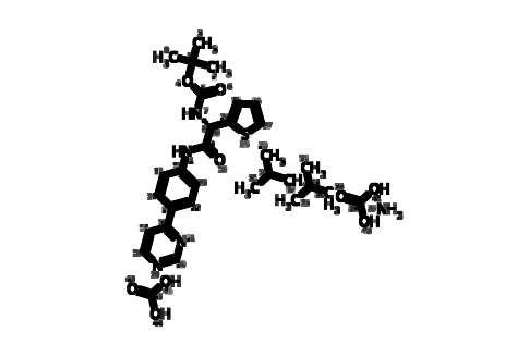 CC(C)(C)OC(=O)N[C@@H](C(=O)Nc1ccc(-c2ccncn2)cc1)c1cccs1.CC(C)C.CC(C)C.N.O=C(O)O.O=C(O)O